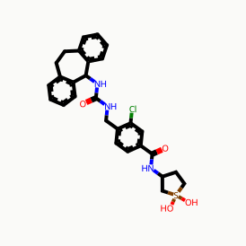 O=C(NCc1ccc(C(=O)NC2CCS(O)(O)C2)cc1Cl)NC1c2ccccc2CCc2ccccc21